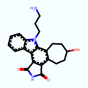 NCCCn1c2ccccc2c2c3c(c4c(c21)CCC(O)CC4)C(=O)NC3=O